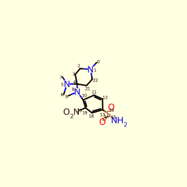 CN1CCC(N(C)C)(N(C)c2ccc(S(N)(=O)=O)cc2[N+](=O)[O-])CC1